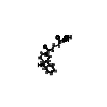 O=C(CCCC(=O)N1CCc2[nH]c3ccccc3c2C1)NO